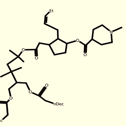 CC/C=C\CC1C(CC(=O)OC(C)(C)CC(C)(C)C(COC(=O)CCCCCCCCCCC)COC(=O)CCCCCCCCCCC)CCC1OC(=O)C1CCN(C)CC1